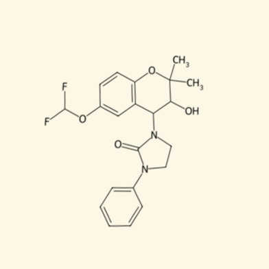 CC1(C)Oc2ccc(OC(F)F)cc2C(N2CCN(c3ccccc3)C2=O)C1O